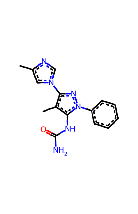 Cc1cn(-c2nn(-c3ccccc3)c(NC(N)=O)c2C)cn1